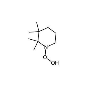 CC1(C)CCCN(OO)C1(C)C